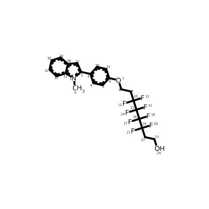 Cn1c(-c2ccc(OCCC(F)(F)C(F)(F)C(F)(F)C(F)(F)CCO)cc2)cc2ccccc21